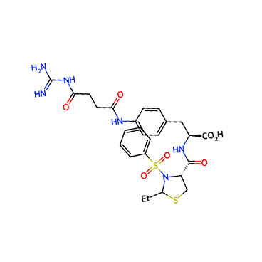 CCC1SC[C@@H](C(=O)N[C@@H](Cc2ccc(NC(=O)CCC(=O)NC(=N)N)cc2)C(=O)O)N1S(=O)(=O)c1ccccc1